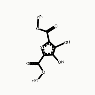 CCCOC(=O)c1sc(C(=O)OCCC)c(O)c1O